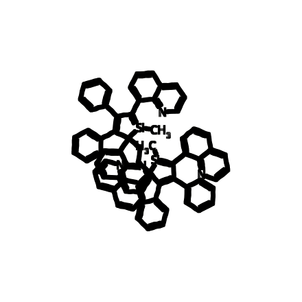 C[Si]1=C(c2cccc3cccnc23)C(c2ccccc2)=C(c2ccccc2)C1(CCC1(c2cccc3cccnc23)C(c2ccccc2)=C(c2ccccc2)C(c2cccc3cccnc23)=[Si]1C)c1cccc2cccnc12